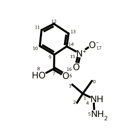 CC(C)(C)NN.O=C(O)c1ccccc1[N+](=O)[O-]